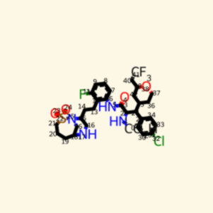 O=C(O)NC(C(=O)Nc1cccc(F)c1CCC1CNC2CCCS(=O)(=O)N1C2)C(c1ccc(Cl)cc1)C1CCOC(CC(F)(F)F)C1